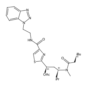 CC[C@H](C)CC(=O)N(C)[C@H](C[C@@H](OC(C)=O)c1nc(C(=O)NCCn2nnc3ccccc32)cs1)C(C)C